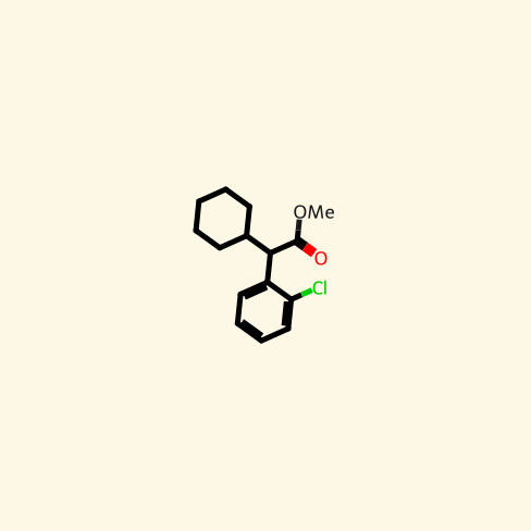 COC(=O)C(c1ccccc1Cl)C1CCCCC1